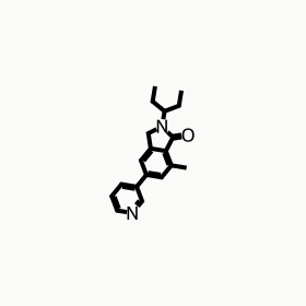 CCC(CC)N1Cc2cc(-c3cccnc3)cc(C)c2C1=O